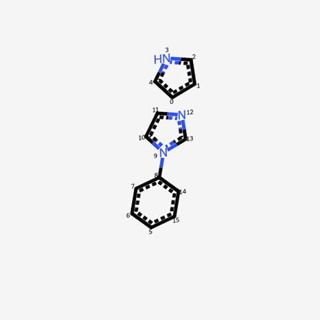 c1cc[nH]c1.c1ccc(-n2ccnc2)cc1